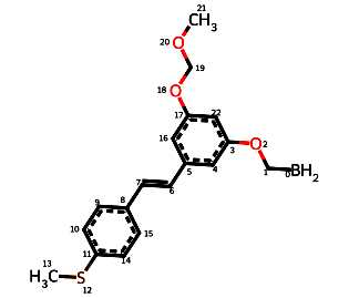 BCOc1cc(/C=C/c2ccc(SC)cc2)cc(OCOC)c1